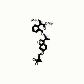 CO/C=C(/C(=O)OC)c1ccccc1CO/N=C(/C)c1noc2cc(OCC3CC3(Cl)Cl)ccc12